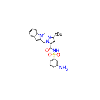 Cn1c(Cn2nc(C(C)(C)C)cc2C(=O)NS(=O)(=O)c2cccc(N)c2)cc2ccccc21